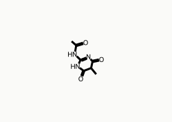 CC(=O)NC1=NC(=O)C(C)C(=O)N1